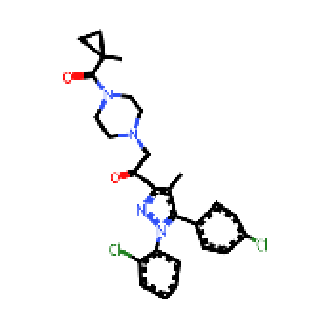 Cc1c(C(=O)CN2CCN(C(=O)C3(C)CC3)CC2)nn(-c2ccccc2Cl)c1-c1ccc(Cl)cc1